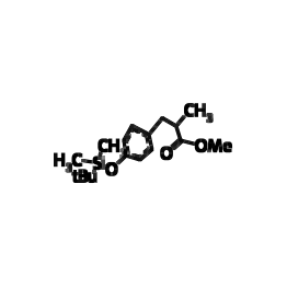 COC(=O)C(C)Cc1ccc(O[Si](C)(C)C(C)(C)C)cc1